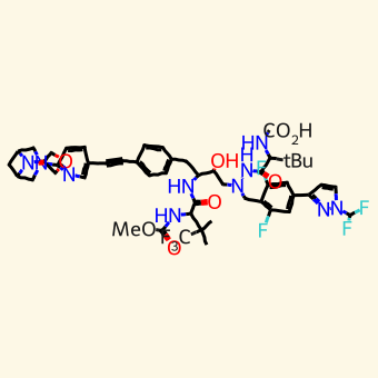 COC(=O)NC(C(=O)NC(Cc1ccc(C#Cc2ccc(N3CC4CC(C3)N4C3COC3)nc2)cc1)C(O)CN(Cc1c(F)cc(-c2ccn(C(F)F)n2)cc1F)NC(=O)C(NC(=O)O)C(C)(C)C)C(C)(C)C(F)(F)F